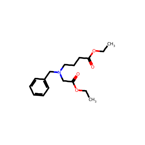 CCOC(=O)CCCN(CC(=O)OCC)Cc1ccccc1